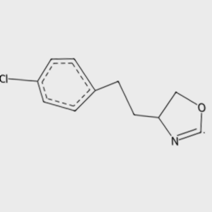 Clc1ccc(CCC2CO[C]=N2)cc1